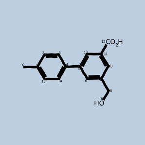 Cc1ccc(-c2cc(CO)cc(C(=O)O)c2)cc1